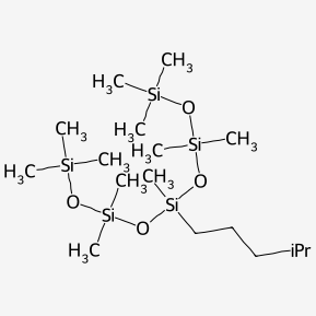 CC(C)CCC[Si](C)(O[Si](C)(C)O[Si](C)(C)C)O[Si](C)(C)O[Si](C)(C)C